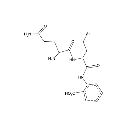 CC(=O)CCC(NC(=O)C(N)CCC(N)=O)C(=O)Nc1ccccc1C(=O)O